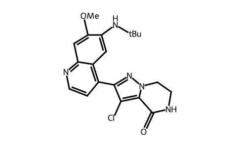 COc1cc2nccc(-c3nn4c(c3Cl)C(=O)NCC4)c2cc1NC(C)(C)C